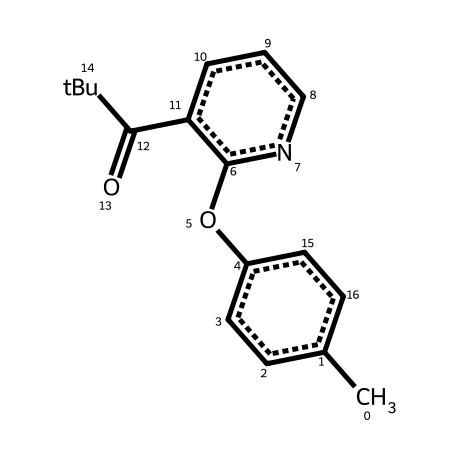 Cc1ccc(Oc2ncccc2C(=O)C(C)(C)C)cc1